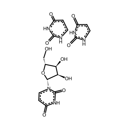 O=c1cc[nH]c(=O)[nH]1.O=c1cc[nH]c(=O)[nH]1.O=c1ccn([C@@H]2O[C@H](CO)[C@@H](O)[C@H]2O)c(=O)[nH]1